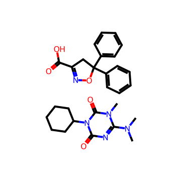 CN(C)c1nc(=O)n(C2CCCCC2)c(=O)n1C.O=C(O)C1=NOC(c2ccccc2)(c2ccccc2)C1